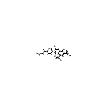 CC(CN)=C1CCN(c2c(F)cc3c(=O)c(C(=O)O)cn4c3c2OC[C@@H]4C)CC1